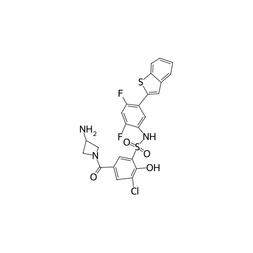 NC1CN(C(=O)c2cc(Cl)c(O)c(S(=O)(=O)Nc3cc(-c4cc5ccccc5s4)c(F)cc3F)c2)C1